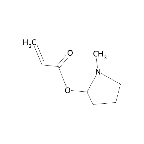 C=CC(=O)OC1CCCN1C